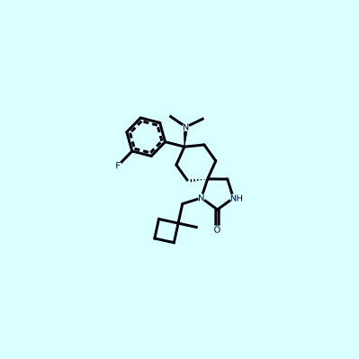 CN(C)[C@]1(c2cccc(F)c2)CC[C@]2(CC1)CNC(=O)N2CC1(C)CCC1